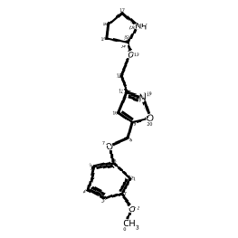 COc1cccc(OCc2cc(CO[C@H]3CCCN3)no2)c1